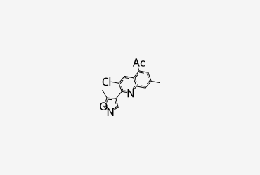 CC(=O)c1cc(C)cc2nc(-c3cnoc3C)c(Cl)cc12